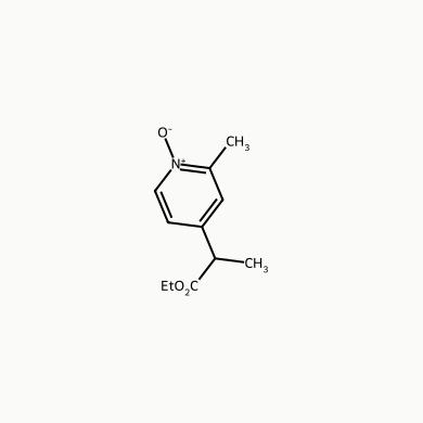 CCOC(=O)C(C)c1cc[n+]([O-])c(C)c1